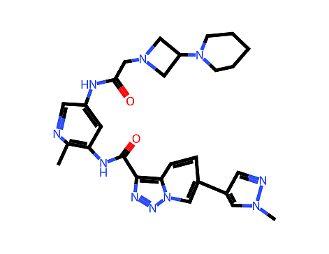 Cc1ncc(NC(=O)CN2CC(N3CCCCC3)C2)cc1NC(=O)c1nnn2cc(-c3cnn(C)c3)ccc12